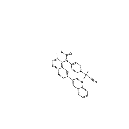 Cc1cnc2ccc(-c3cnc4ccccc4c3)nc2c1N(C(=O)I)c1ccc(C(C)(C)C#N)cc1